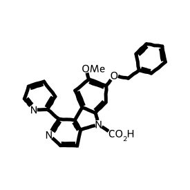 COc1cc2c3c(-c4ccccn4)nccc3n(C(=O)O)c2cc1OCc1ccccc1